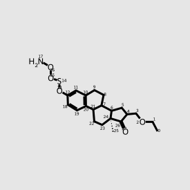 CCOCC1CC2C3CCc4cc(OSOON)ccc4C3CC[C@]2(C)C1=O